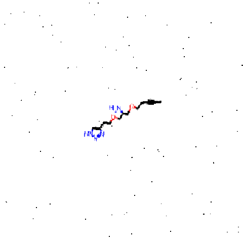 CC#CCCOCC(N)COCCc1c[nH]nn1